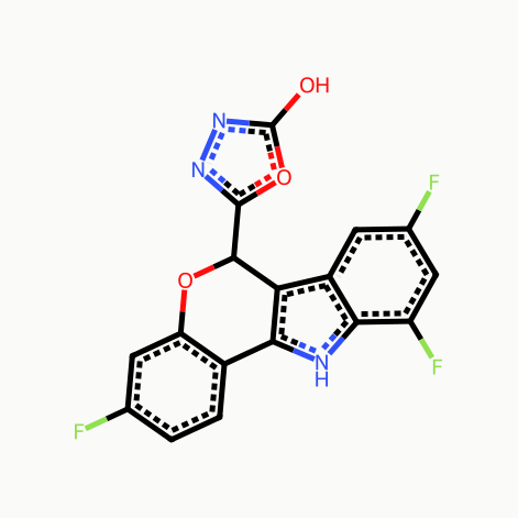 Oc1nnc(C2Oc3cc(F)ccc3-c3[nH]c4c(F)cc(F)cc4c32)o1